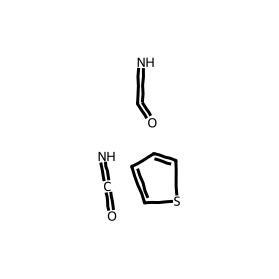 N=C=O.N=C=O.c1ccsc1